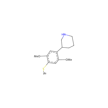 COc1cc(C2CCCNC2)c(OC)cc1SC(C)C